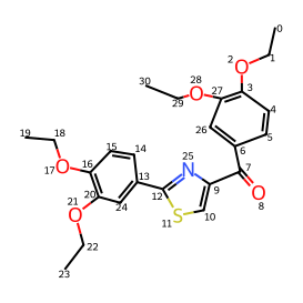 CCOc1ccc(C(=O)c2csc(-c3ccc(OCC)c(OCC)c3)n2)cc1OCC